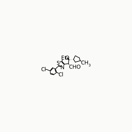 CCc1sc(-c2cc(Cl)ccc2Cl)nc1C(C=O)C(=O)[C@@H]1CC[C@@H](C)C1